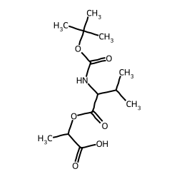 CC(OC(=O)C(NC(=O)OC(C)(C)C)C(C)C)C(=O)O